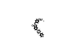 O=C1c2ccc(N3CCN(c4ccncc4)CC3)cc2CN1Cc1ccc(OC(F)(F)F)cc1